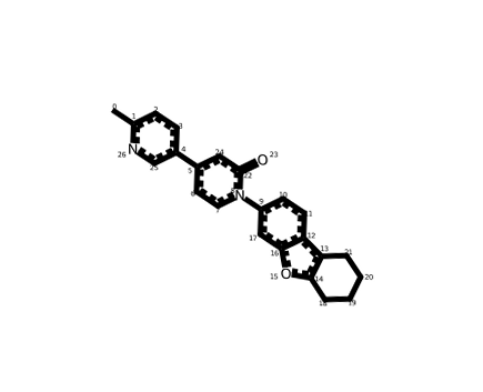 Cc1ccc(-c2ccn(-c3ccc4c5c(oc4c3)CCCC5)c(=O)c2)cn1